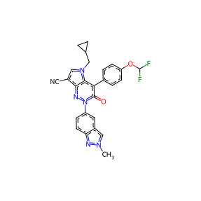 Cn1cc2cc(-n3nc4c(C#N)cn(CC5CC5)c4c(-c4ccc(OC(F)F)cc4)c3=O)ccc2n1